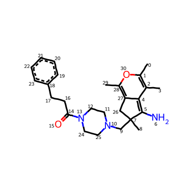 CC1=C(C)C2=C(N)C(C)(CN3CCN(C(=O)CCc4ccccc4)CC3)CC2=C(C)O1